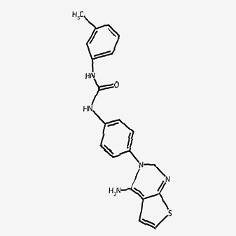 Cc1cccc(NC(=O)Nc2ccc(N3CN=c4sccc4=C3N)cc2)c1